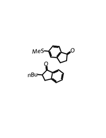 CCCCC1Cc2ccccc2C1=O.CSc1ccc2c(c1)CCC2=O